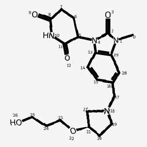 Cn1c(=O)n(C2CCC(=O)NC2=O)c2ccc(CN3CC[C@@H](OCCCO)C3)cc21